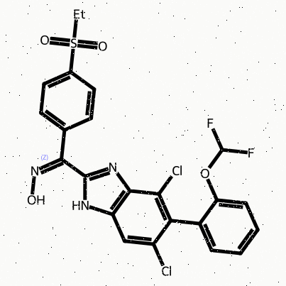 CCS(=O)(=O)c1ccc(/C(=N/O)c2nc3c(Cl)c(-c4ccccc4OC(F)F)c(Cl)cc3[nH]2)cc1